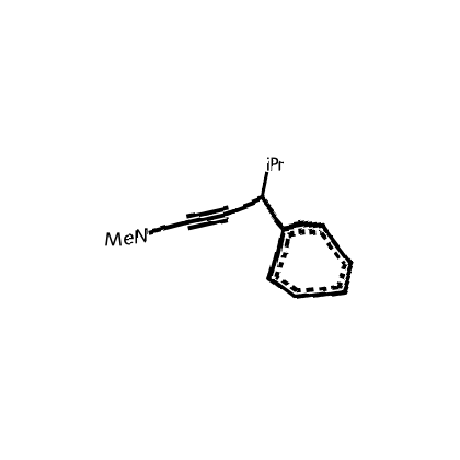 CNC#CC(c1ccccc1)C(C)C